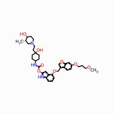 COCCCOc1ccc2c(COc3cccc4[nH]c(OC(=O)NC5CCC(O)(CCN6CC[C@H](O)[C@@H](C)C6)CC5)cc34)coc2c1